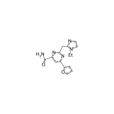 CCn1ccnc1Cc1nc(C(N)=O)cc(-c2ccco2)n1